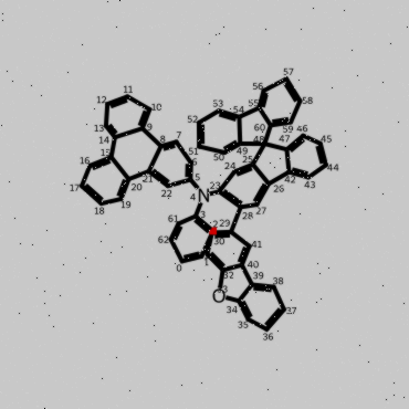 c1ccc(N(c2ccc3c4ccccc4c4ccccc4c3c2)c2cc3c(cc2-c2ccc4oc5ccccc5c4c2)-c2ccccc2C32c3ccccc3-c3ccccc32)cc1